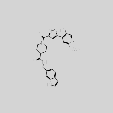 COc1cc(-c2cc(C(=O)N3CCC(C(=O)NCc4ccc5cc[nH]c5c4)CC3)n[nH]2)c(Cl)cn1